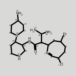 CCC1CCC(Cl)/C=N\C(C(C(=O)NC2CNCCC2N2CCC(N)CC2)C(N)N)C1